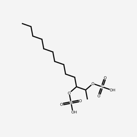 CCCCCCCCCCC(OS(=O)(=O)O)C(C)OS(=O)(=O)O